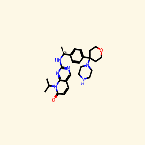 CC(C)n1c(=O)ccc2cnc(N[C@@H](C)c3ccc(C4(N5CCNCC5)CCOCC4)cc3)nc21